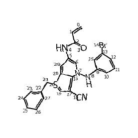 C=CC(=O)NC1=CN(Nc2cccc(Br)c2)C2=C(C#N)C=S(Cc3ccccc3)C2=C1